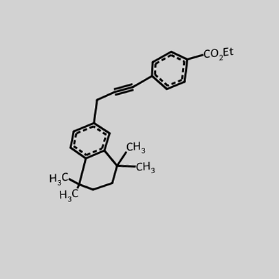 CCOC(=O)c1ccc(C#CCc2ccc3c(c2)C(C)(C)CCC3(C)C)cc1